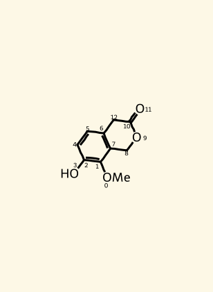 COc1c(O)ccc2c1COC(=O)C2